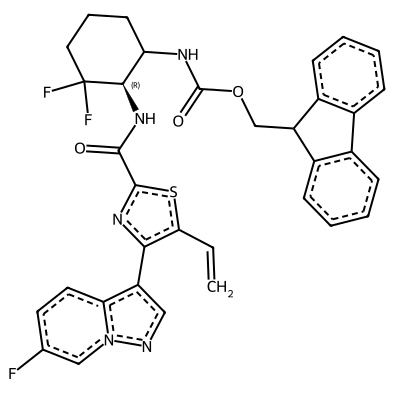 C=Cc1sc(C(=O)N[C@@H]2C(NC(=O)OCC3c4ccccc4-c4ccccc43)CCCC2(F)F)nc1-c1cnn2cc(F)ccc12